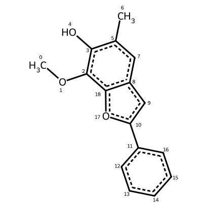 COc1c(O)c(C)cc2cc(-c3ccccc3)oc12